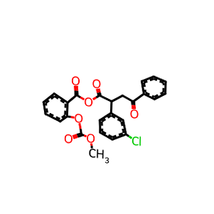 COC(=O)Oc1ccccc1C(=O)OC(=O)C(CC(=O)c1ccccc1)c1cccc(Cl)c1